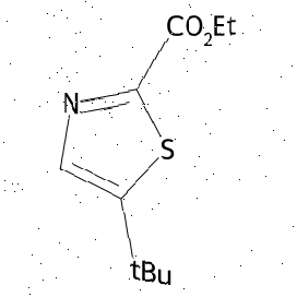 CCOC(=O)c1ncc(C(C)(C)C)s1